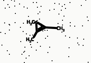 C[C]1=[C](C)[GeH2]1